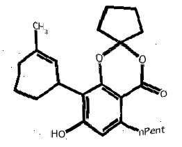 CCCCCc1cc(O)c(C2C=C(C)CCC2)c2c1C(=O)OC1(CCCC1)O2